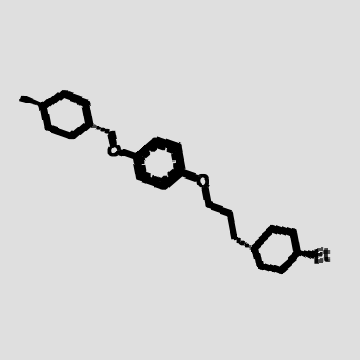 CC[C@H]1CC[C@H](CCCOc2ccc(OC[C@H]3CC[C@H](C)CC3)cc2)CC1